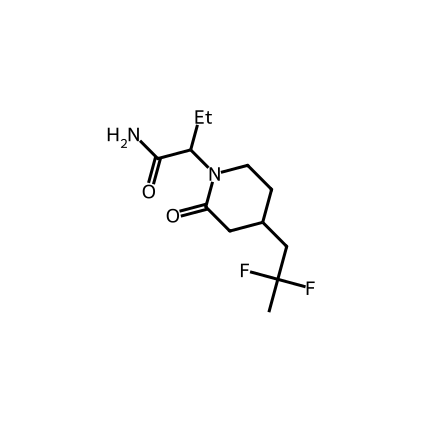 CCC(C(N)=O)N1CCC(CC(C)(F)F)CC1=O